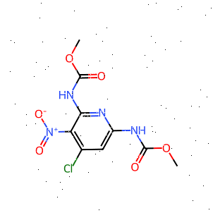 COC(=O)Nc1cc(Cl)c([N+](=O)[O-])c(NC(=O)OC)n1